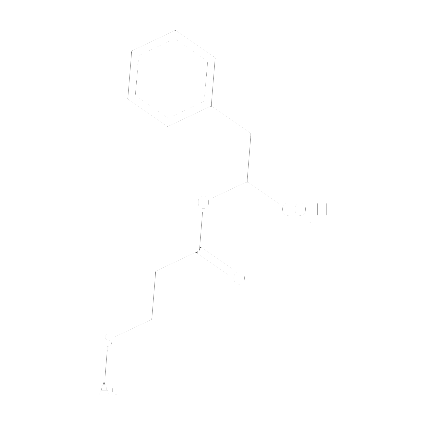 CC(=O)SCCC(=O)OC(Cc1ccccc1)C(=O)O